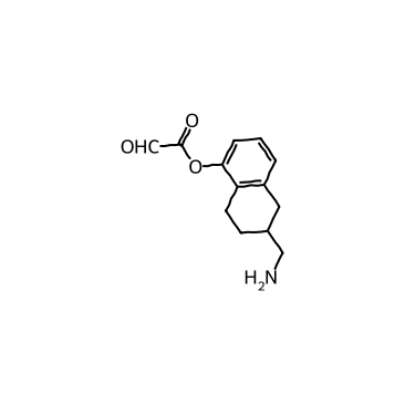 NCC1CCc2c(cccc2OC(=O)C=O)C1